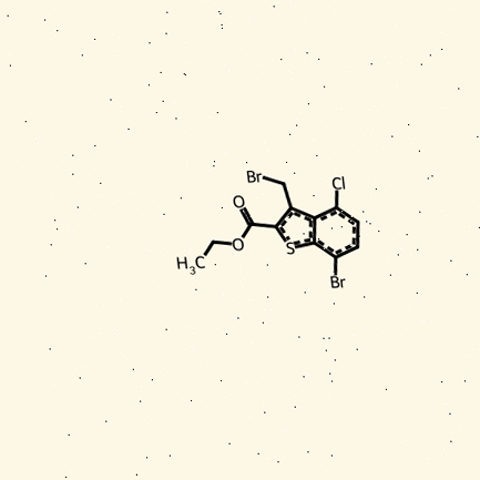 CCOC(=O)c1sc2c(Br)ccc(Cl)c2c1CBr